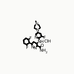 CN1CCN(c2cnc(Nc3cc(-c4c(F)cccc4F)nnc3C(N)=O)c(F)c2)CC1.Cl